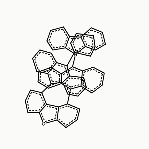 c1ccc(-c2c3ccccc3c(-c3cccc4oc5cccc(-c6c7ccccc7c(-n7c8ccccc8c8ccccc87)c7ccccc67)c5c34)c3ccccc23)cc1